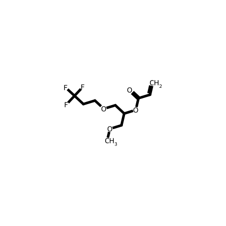 C=CC(=O)OC(COC)COCCC(F)(F)F